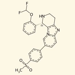 CS(=O)(=O)c1ccc(-c2ccc3nc4c(n3c2)[C@H](c2ccccc2OC(F)F)NCC4)cc1